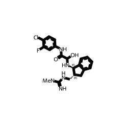 CNC(=N)NC[C@H]1Cc2ccccc2[C@@H]1NC(O)C(=O)Nc1ccc(Cl)c(F)c1